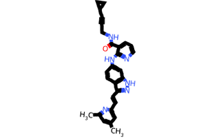 Cc1cc(C)nc(/C=C/c2n[nH]c3cc(Nc4ncccc4C(=O)NCC#CC4CC4)ccc23)c1